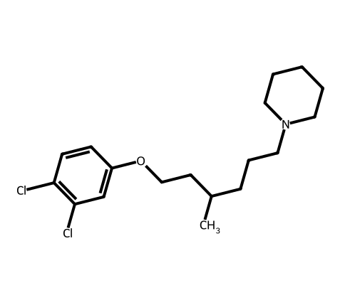 CC(CCCN1CCCCC1)CCOc1ccc(Cl)c(Cl)c1